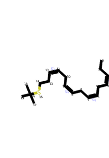 CC/C=C\C/C=C\C/C=C\C/C=C\CCSC(C)(C)C